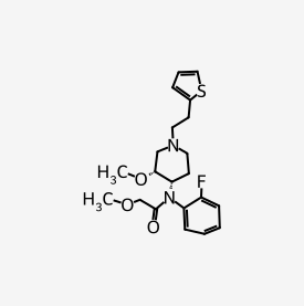 COCC(=O)N(c1ccccc1F)[C@H]1CCN(CCc2cccs2)C[C@H]1OC